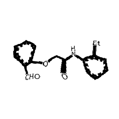 CCc1ccccc1NC(=O)COc1ccccc1C=O